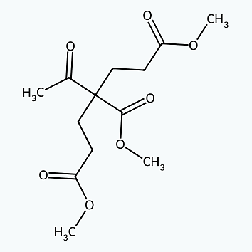 COC(=O)CCC(CCC(=O)OC)(C(C)=O)C(=O)OC